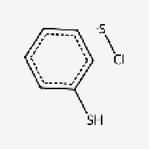 Sc1ccccc1.[S]Cl